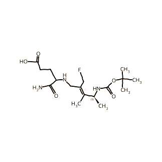 C/C(=C(/CF)CNC(CCC(=O)O)C(N)=O)[C@H](C)NC(=O)OC(C)(C)C